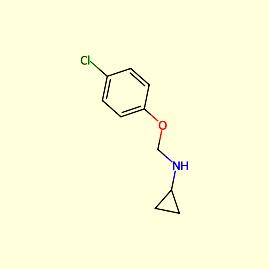 Clc1ccc(OCNC2CC2)cc1